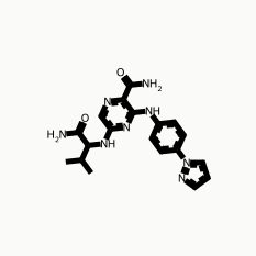 CC(C)C(Nc1cnc(C(N)=O)c(Nc2ccc(-n3cccn3)cc2)n1)C(N)=O